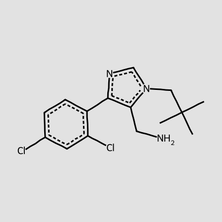 CC(C)(C)Cn1cnc(-c2ccc(Cl)cc2Cl)c1CN